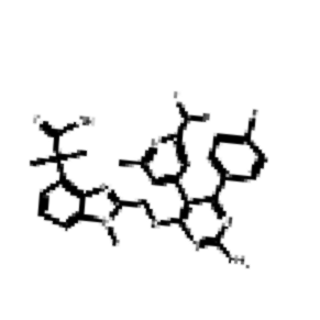 Cc1cc(-c2c(OCc3nc4c(C(C)(C)C(=O)O)cccc4n3C)nc(N)nc2-c2ccc(F)cc2)cc(C(F)F)n1